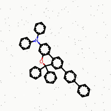 c1ccc(-c2ccc(-c3ccc4c(c3)C(c3ccccc3)(c3ccccc3)Oc3cc(N(c5ccccc5)c5ccccc5)ccc3-4)cc2)cc1